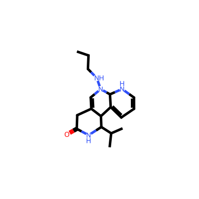 CCCNN1C=C2CC(=O)NC(C(C)C)C2C2=CC=CNC21